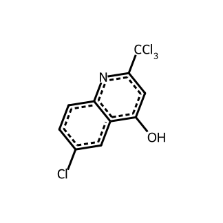 Oc1cc(C(Cl)(Cl)Cl)nc2ccc(Cl)cc12